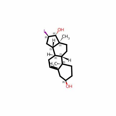 C[C@]12CC[C@H]3[C@@H](CC=C4C[C@H](O)CC[C@@]43C)[C@@H]1C[C@@H](I)[C@@H]2O